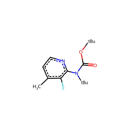 Cc1ccnc(N(C(=O)OC(C)(C)C)C(C)(C)C)c1F